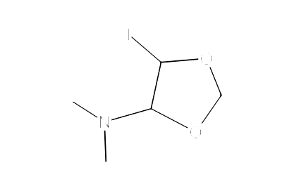 CN(C)C1OCOC1I